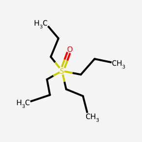 CCCS(=O)(CCC)(CCC)CCC